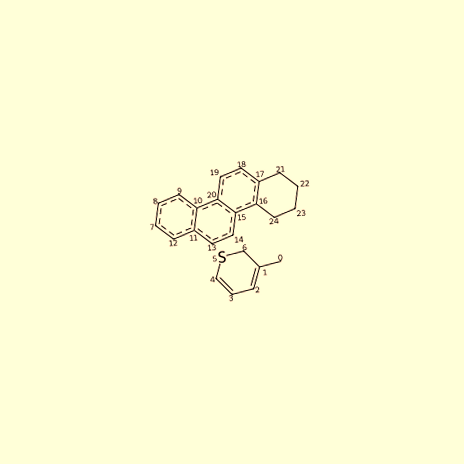 CC1=CC=CSC1.c1ccc2c(c1)ccc1c3c(ccc12)CCCC3